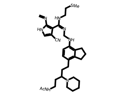 C=Nc1[nH]cc(C#N)c1/C(=N\CNc1ccc(CCC(CCNC(C)=O)N2CCCCC2)c2c1CCC2)NCCSC